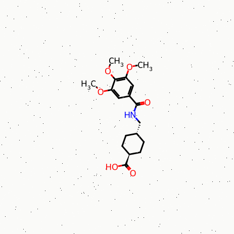 COc1cc(C(=O)NC[C@H]2CC[C@H](C(=O)O)CC2)cc(OC)c1OC